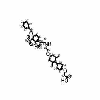 Cc1cc(OCCN[C@@H](C)[C@H](O)c2ccc(OCc3ccccc3)c(S(C)(=O)=O)c2N)cc(C)c1-c1ccc(OCC(=O)O)cc1